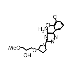 COC[C@@H](O)COC1CCN(c2nnc(-c3cccc(Cl)c3Cl)c(N)n2)C1